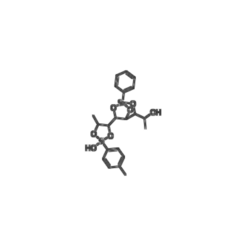 Cc1ccc([Si]2(O)OC(C)C(C3O[Si]4(c5ccccc5)OC(C(C)O)C3O4)O2)cc1